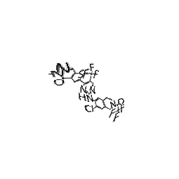 Cn1ncc2sc(-c3nc(Nc4cc5c(cc4Cl)CN(C(=O)C(F)(F)F)CC5)ncc3C(F)(F)F)cc2c1=O